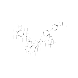 [2H]c1c([2H])c(C([2H])([2H])Sc2nc(=O)c3c(n2CC(=O)N(CCN(C([2H])([2H])C)C([2H])([2H])C)Cc2ccc(-c4ccc(C(F)(F)F)cc4)cc2)C([2H])([2H])C([2H])(C)C3([2H])[2H])c([2H])c([2H])c1F